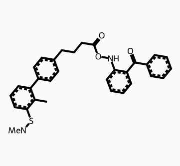 CNSc1cccc(-c2ccc(CCCC(=O)ONc3ccccc3C(=O)c3ccccc3)cc2)c1C